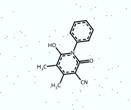 Cc1c(C)c(O)n(-c2ccccc2)c(=O)c1C#N